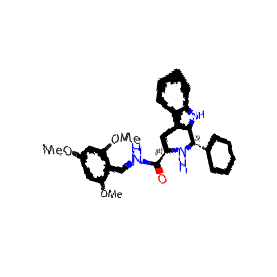 COc1cc(OC)c(CNC(=O)[C@H]2Cc3c([nH]c4ccccc34)[C@H](C3CCCCC3)N2)c(OC)c1